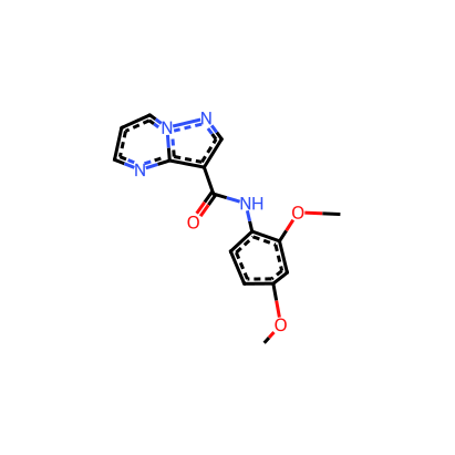 COc1ccc(NC(=O)c2cnn3cccnc23)c(OC)c1